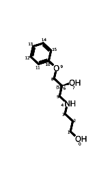 OCCCNC[C@H](O)COc1ccccc1